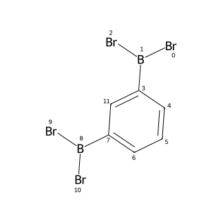 BrB(Br)c1cccc(B(Br)Br)c1